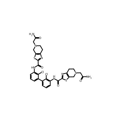 NC(=O)CN1CCc2nc(C(=O)Nc3cccc(-c4cccc(NC(=O)c5nc6c(s5)CN(CC(N)=O)CC6)c4Cl)c3Cl)sc2C1